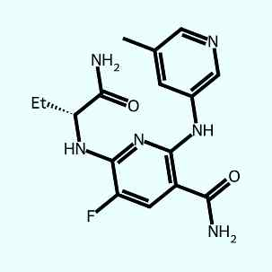 CC[C@@H](Nc1nc(Nc2cncc(C)c2)c(C(N)=O)cc1F)C(N)=O